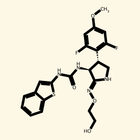 COc1cc(F)c([C@@H]2CNC(=NOCCO)[C@H]2NC(=O)Nc2cc3ccccc3s2)c(F)c1